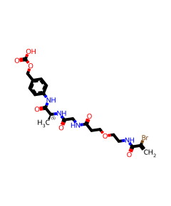 C=C(Br)C(=O)NCCOCCC(=O)NCC(=O)N[C@@H](C)C(=O)Nc1ccc(COC(=O)O)cc1